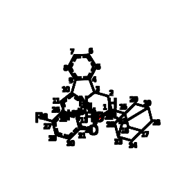 OC(CC1c2ccccc2-c2cncn21)C12CC3CC(C1)C(Nc1nc4cc(F)ccc4o1)C(C3)C2